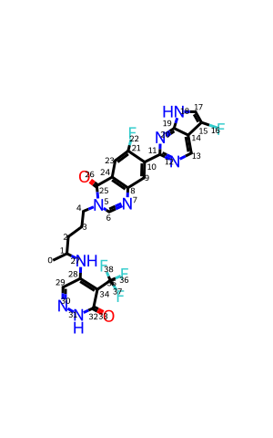 CC(CCCn1cnc2cc(-c3ncc4c(F)c[nH]c4n3)c(F)cc2c1=O)Nc1cn[nH]c(=O)c1C(F)(F)F